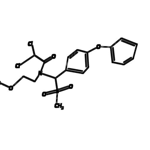 CCOCCN(C(=O)C(Cl)Cl)C(c1ccc(Oc2ccccc2)cc1)S(C)(=O)=O